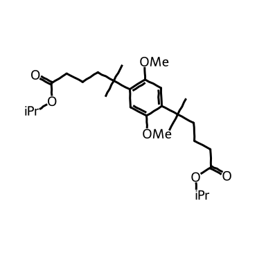 COc1cc(C(C)(C)CCCC(=O)OC(C)C)c(OC)cc1C(C)(C)CCCC(=O)OC(C)C